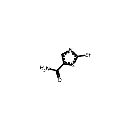 CCc1ncc(C(N)=O)s1